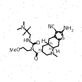 COCCN(C(=O)NCC(C)(C)N(C)C)C(=O)[C@@H]1C[C@@H]2Cc3c(sc(N)c3C#N)C[C@H]2N(C)C1